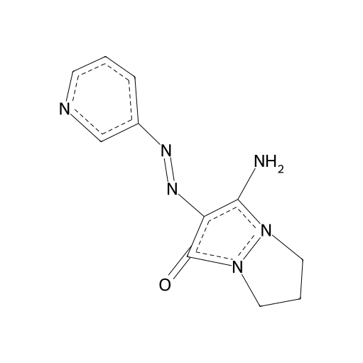 Nc1c(/N=N/c2cccnc2)c(=O)n2n1CCC2